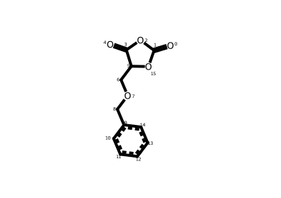 O=C1OC(=O)C(COCc2ccccc2)O1